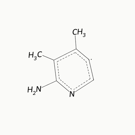 Cc1[c]cnc(N)c1C